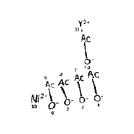 CC(=O)[O-].CC(=O)[O-].CC(=O)[O-].CC(=O)[O-].CC(=O)[O-].[Ni+2].[Y+3]